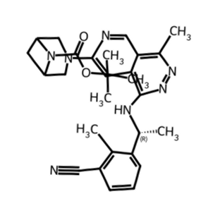 Cc1c(C#N)cccc1[C@@H](C)Nc1nnc(C)c2cnc(N3CC4CC(C3)N4C(=O)OC(C)(C)C)cc12